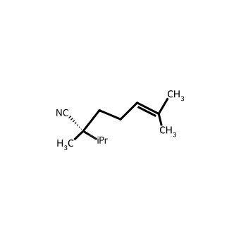 CC(C)=CCC[C@@](C)(C#N)C(C)C